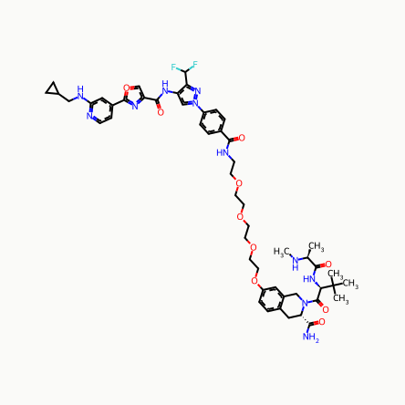 CN[C@@H](C)C(=O)N[C@H](C(=O)N1Cc2cc(OCCOCCOCCOCCNC(=O)c3ccc(-n4cc(NC(=O)c5coc(-c6ccnc(NCC7CC7)c6)n5)c(C(F)F)n4)cc3)ccc2C[C@H]1C(N)=O)C(C)(C)C